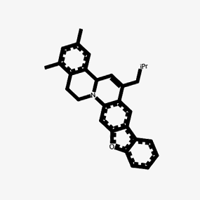 Cc1cc(C)c2c(c1)C1C=C(CC(C)C)c3cc4c(cc3N1CC2)oc1ccccc14